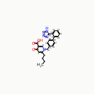 CCCCc1cc(=O)c(C(=O)O)cn1Cc1ccc(-c2ccccc2-c2nnn[nH]2)cc1